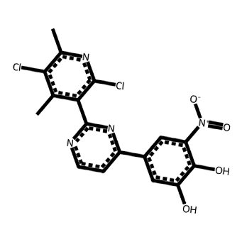 Cc1nc(Cl)c(-c2nccc(-c3cc(O)c(O)c([N+](=O)[O-])c3)n2)c(C)c1Cl